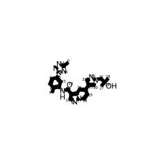 Cc1nnn(-c2ccc(C)c(NC(=O)c3cnn4ccc(-c5cnn(CC(C)(C)O)c5)cc34)c2)n1